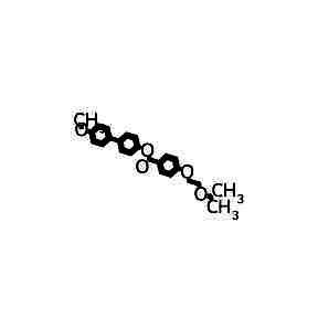 COc1ccc(-c2ccc(OC(=O)c3ccc(OCCOC(C)C)cc3)cc2)cc1